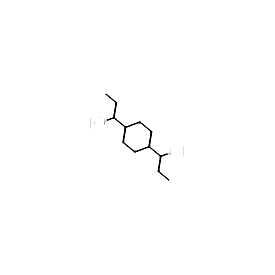 CCC(O)C1CCC(C(O)CC)CC1